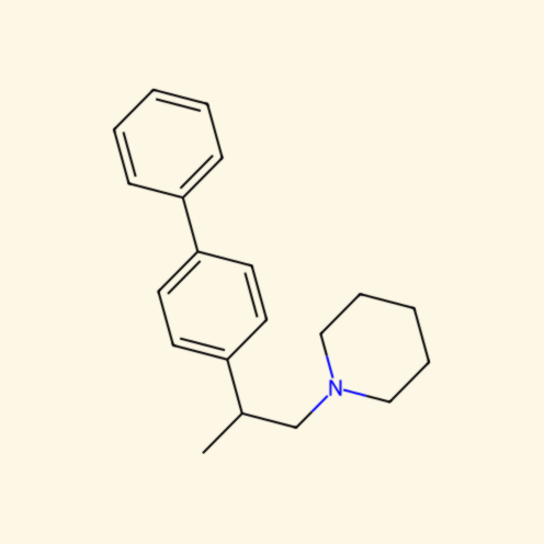 CC(CN1CCCCC1)c1ccc(-c2ccccc2)cc1